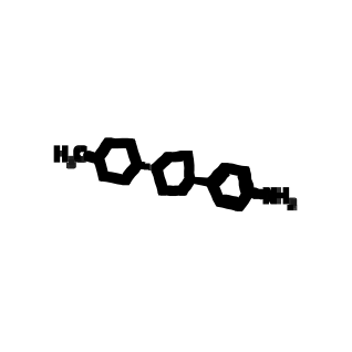 CC1CCC([C@H]2CC[C@H](c3ccc(N)cc3)CC2)CC1